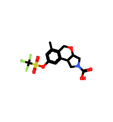 Cc1cc(OS(=O)(=O)C(F)(F)F)cc2c1COC1CN(C(=O)O)CC21